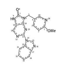 COc1ccc(Cn2c(=O)[nH]c3cnc(-n4cnc5ccccc54)nc32)cn1